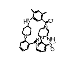 Cc1cc(C)c(C(=O)N2CCN(c3ncccc3[S@@](C)(=N)=O)CC2)cc1NC1CCN(c2ccccc2C#N)CC1